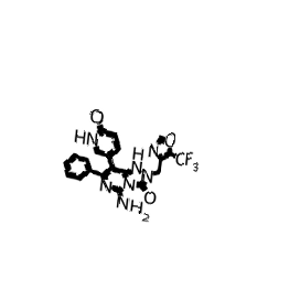 Nc1nc(-c2ccccc2)c(-c2ccc(=O)[nH]c2)c2[nH]n(Cc3ncoc3C(F)(F)F)c(=O)[n+]12